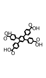 O=C(O)c1ccc(-c2cc(C3=CCC(C(=O)O)C=C3)c(-c3ccc(C(=O)O)cc3)cc2C2=CCC(C(=O)O)C=C2)cc1